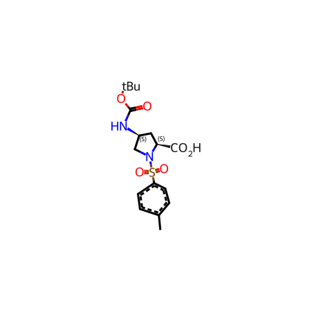 Cc1ccc(S(=O)(=O)N2C[C@@H](NC(=O)OC(C)(C)C)C[C@H]2C(=O)O)cc1